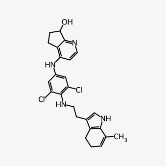 CC1=CCCc2c(CCNc3c(Cl)cc(Nc4ccnc5c4CCC5O)cc3Cl)c[nH]c21